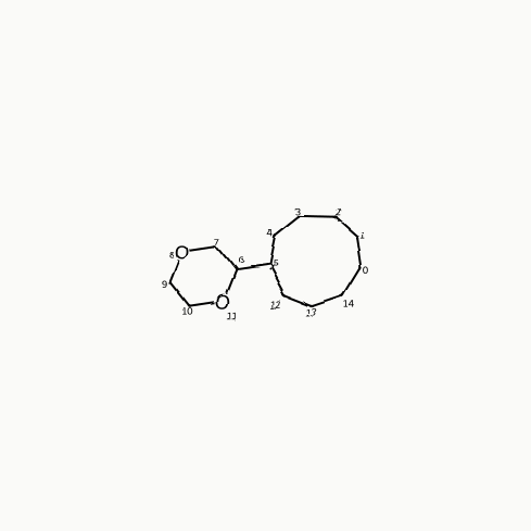 C1CCCC[C](C2COCCO2)CCC1